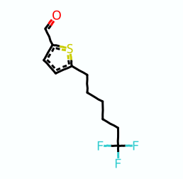 O=Cc1ccc(CCCCCC(F)(F)F)s1